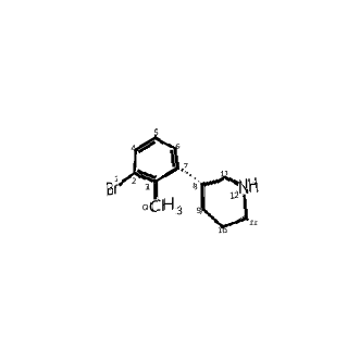 Cc1c(Br)cccc1[C@H]1CCCNC1